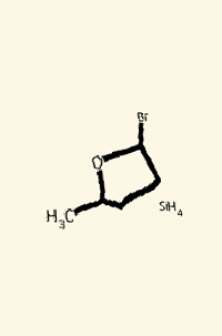 CC1CCC(Br)O1.[SiH4]